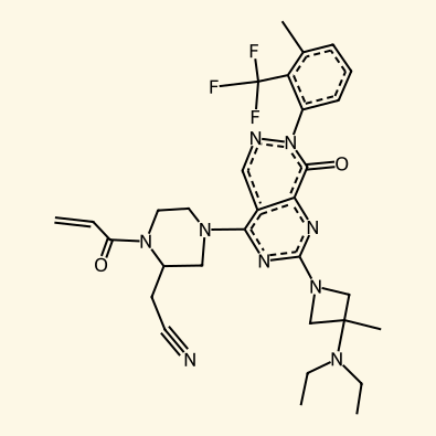 C=CC(=O)N1CCN(c2nc(N3CC(C)(N(CC)CC)C3)nc3c(=O)n(-c4cccc(C)c4C(F)(F)F)ncc23)CC1CC#N